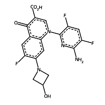 Nc1nc(-n2cc(C(=O)O)c(=O)c3cc(F)c(N4CC(O)C4)cc32)c(F)cc1F